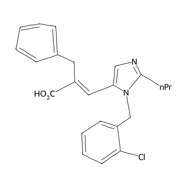 CCCc1ncc(/C=C(\Cc2ccccc2)C(=O)O)n1Cc1ccccc1Cl